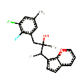 CC(C)C(c1ccc2cccoc1-2)C(O)(Cc1cc(C(F)(F)F)cc(Cl)c1F)C(F)(F)F